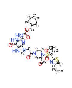 C=CC(c1nc2ccccc2s1)S(=O)(=O)N1CCN(C(=O)CN2CNc3c2nc(NC(=O)OCc2ccccc2)[nH]c3=O)CC1C=O